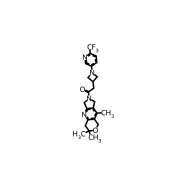 Cc1c2c(nc3c1CN(C(=O)CC1CN(c4ccc(C(F)(F)F)nc4)C1)C3)CC(C)(C)OC2